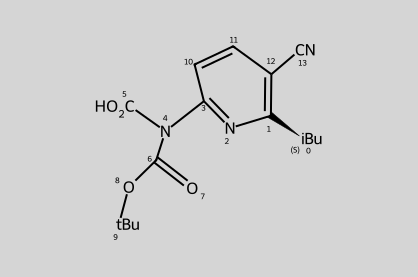 CC[C@H](C)c1nc(N(C(=O)O)C(=O)OC(C)(C)C)ccc1C#N